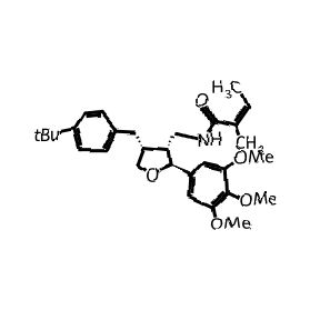 C/C=C(/C)C(=O)NC[C@H]1[C@@H](Cc2ccc(C(C)(C)C)cc2)CO[C@@H]1c1cc(OC)c(OC)c(OC)c1